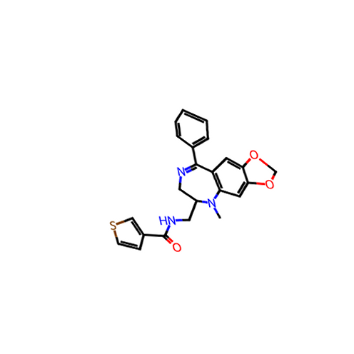 CN1c2cc3c(cc2C(c2ccccc2)=NCC1CNC(=O)c1ccsc1)OCO3